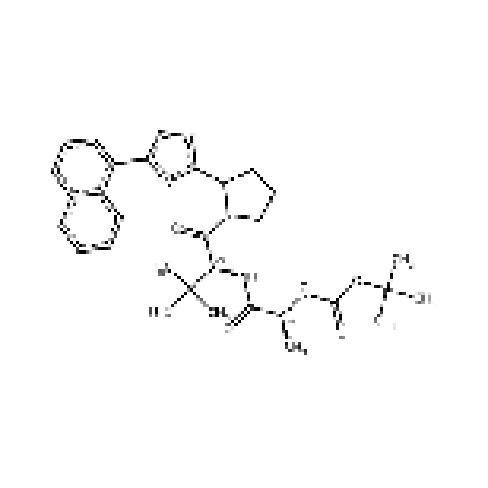 C[C@H](NC(=O)OC(C)(C)C)C(=O)N[C@H](C(=O)N1CCCC1c1nc(-c2cccc3ccccc23)cs1)C(C)(C)C